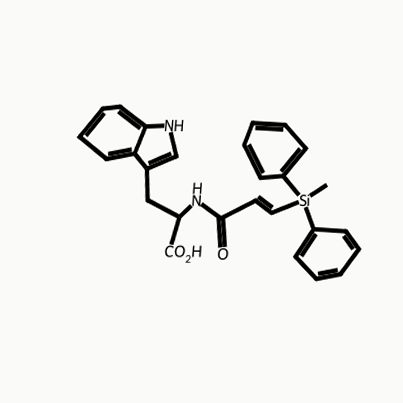 C[Si](/C=C/C(=O)NC(Cc1c[nH]c2ccccc12)C(=O)O)(c1ccccc1)c1ccccc1